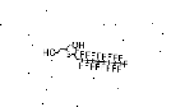 OCC=C(CO)SC(F)CC(F)(F)C(F)(F)C(F)(F)C(F)(F)C(F)(F)C(F)(F)C(F)(F)C(F)(F)F